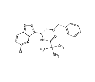 CC(C)(N)C(=O)N[C@@H](COCc1ccccc1)c1nnc2ccc(Cl)nn12